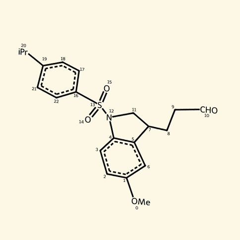 COc1ccc2c(c1)C(CCC=O)CN2S(=O)(=O)c1ccc(C(C)C)cc1